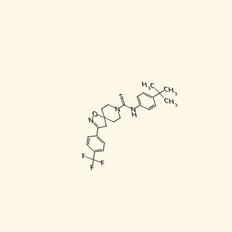 CC(C)(C)c1ccc(NC(=S)N2CCC3(CC2)CC(c2ccc(C(F)(F)F)cc2)=NO3)cc1